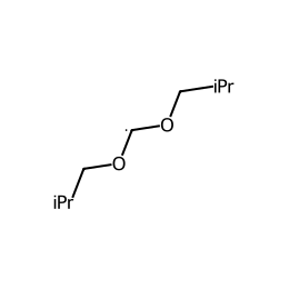 CC(C)CO[CH]OCC(C)C